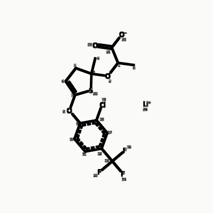 CC(OC1(C)CC=C(Oc2ccc(C(F)(F)F)cc2Cl)S1)C(=O)[O-].[Li+]